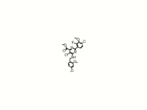 COC(=O)c1nc(-c2ccc(Cl)c(OC)c2F)nc(NCc2ccc(OC)cc2OC)c1Cl